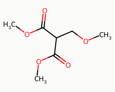 COCC(C(=O)OC)C(=O)OC